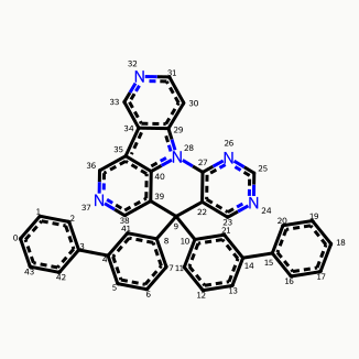 c1ccc(-c2cccc(C3(c4cccc(-c5ccccc5)c4)c4cncnc4-n4c5ccncc5c5cncc3c54)c2)cc1